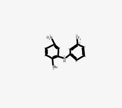 CC(C)(C)c1ccc([N+](=O)[O-])cc1Nc1cccc(C(F)(F)F)c1